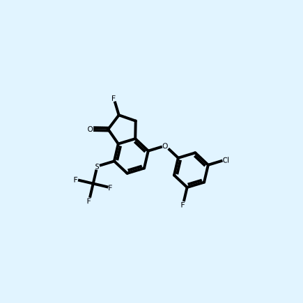 O=C1c2c(SC(F)(F)F)ccc(Oc3cc(F)cc(Cl)c3)c2CC1F